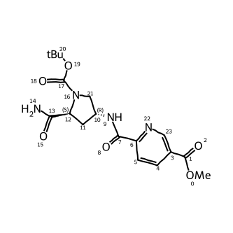 COC(=O)c1ccc(C(=O)N[C@@H]2C[C@@H](C(N)=O)N(C(=O)OC(C)(C)C)C2)nc1